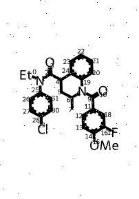 CCN(C(=O)C1CC(C)N(C(=O)c2ccc(OC)c(F)c2)c2ccccc21)c1ccc(Cl)cc1